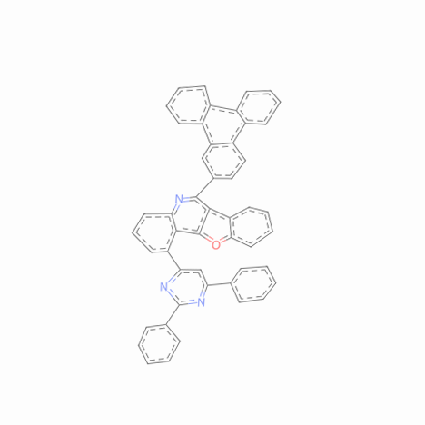 c1ccc(-c2cc(-c3cccc4nc(-c5ccc6c7ccccc7c7ccccc7c6c5)c5c6ccccc6oc5c34)nc(-c3ccccc3)n2)cc1